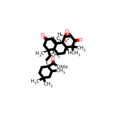 COC(=O)[C@]1(CC[C@]2(C)CC(=O)C=C3[C@@]4(C)[C@H]5O[C@@]5(Br)C(=O)C(C)(C)[C@@H]4CC[C@]32C)CCC(C)(C)CC1C